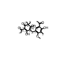 COc1c(C)c(O)c(C(C)=O)c(O)c1CC1=C(O)C(C)(C)C(=O)C(C(C)=O)=C1O